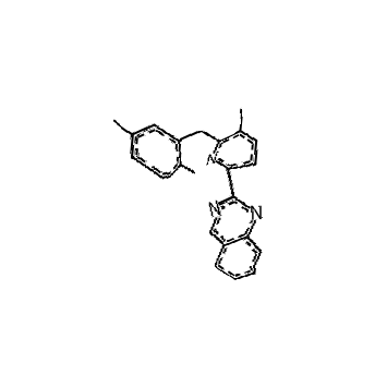 Cc1ccc(C)c(Cc2nc(-c3ncc4ccccc4n3)ccc2C)c1